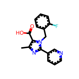 Cc1nc(-c2cccnc2)n(Cc2ccccc2F)c1C(=O)O